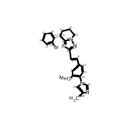 COc1cc(/C=C/c2nc3n(n2)CCC[C@H]3c2ccccc2Br)ccc1-n1cnc(C)c1